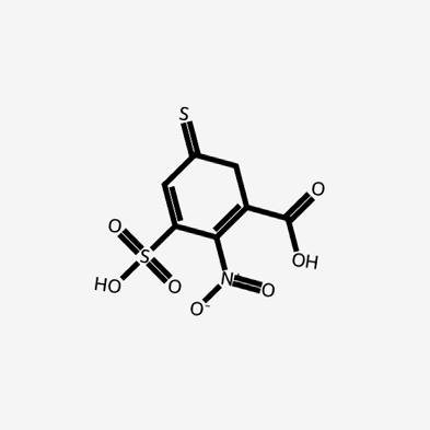 O=C(O)C1=C([N+](=O)[O-])C(S(=O)(=O)O)=CC(=S)C1